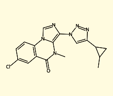 CC1CC1c1cn(-c2ncn3c4ccc(Cl)cc4c(=O)n(C)c23)nn1